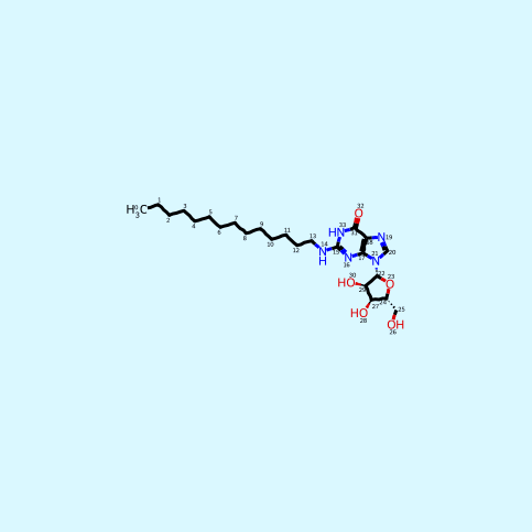 CCCCCCCCCCCCCCNc1nc2c(ncn2[C@@H]2O[C@H](CO)[C@@H](O)[C@H]2O)c(=O)[nH]1